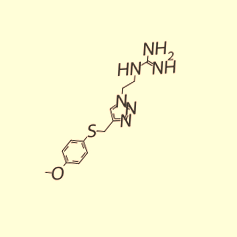 COc1ccc(SCc2cn(CCNC(=N)N)nn2)cc1